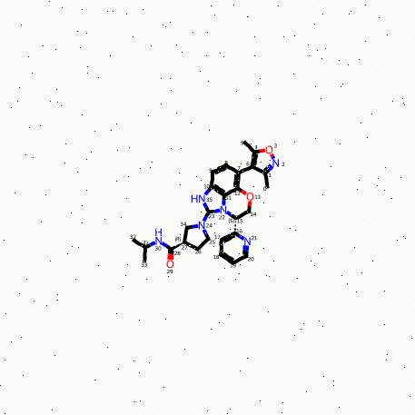 Cc1noc(C)c1-c1ccc2c3c1OC[C@H](c1ccccn1)N3C(N1CC[C@@H](C(=O)NC(C)C)C1)N2